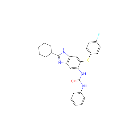 O=C(Nc1ccccc1)Nc1cc2nc(C3CCCCC3)[nH]c2cc1Sc1ccc(F)cc1